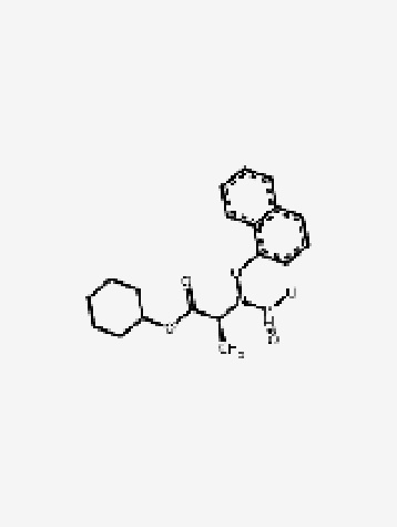 C[C@@H](C(=O)OC1CCCCC1)N(Oc1cccc2ccccc12)[PH](=O)Cl